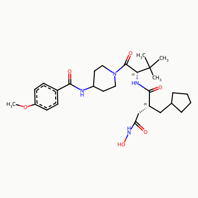 COc1ccc(C(=O)NC2CCN(C(=O)[C@@H](NC(=O)[C@@H](CC(=O)NO)CC3CCCC3)C(C)(C)C)CC2)cc1